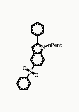 CCCCCn1c(-c2ccccc2)cc2cc(S(=O)(=O)c3ccccc3)ccc21